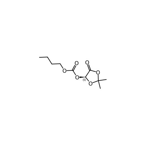 CCCCOC(=O)O[C@@H]1OC(C)(C)OC1=O